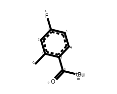 Cc1cc(F)ccc1C(=O)C(C)(C)C